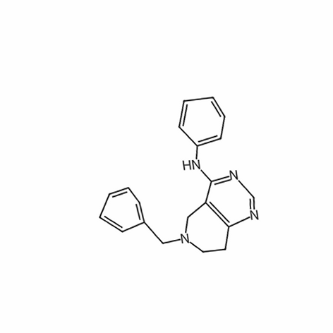 c1ccc(CN2CCc3ncnc(Nc4ccccc4)c3C2)cc1